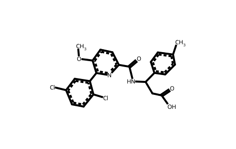 COc1ccc(C(=O)NC(CC(=O)O)c2ccc(C)cc2)nc1-c1cc(Cl)ccc1Cl